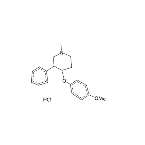 COc1ccc(OC2CCN(C)CC2c2ccccc2)cc1.Cl